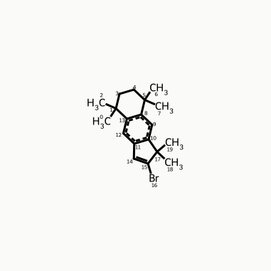 CC1(C)CCC(C)(C)c2cc3c(cc21)C=C(Br)C3(C)C